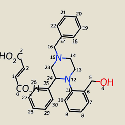 O=C(O)/C=C/C(=O)O.OCc1ccccc1N1CCN(Cc2ccccc2)CC1c1ccccc1